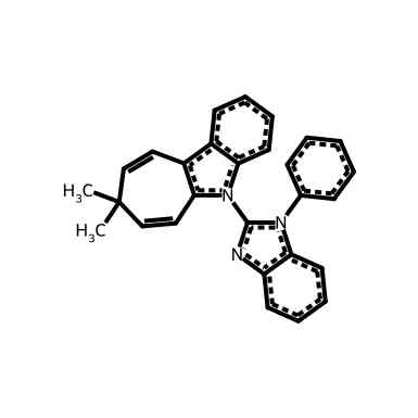 CC1(C)C=Cc2c(n(-c3nc4ccccc4n3-c3ccccc3)c3ccccc23)C=C1